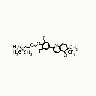 CC1(C(F)(F)F)CCc2nc(-c3cc(F)c(OCOCC[Si](C)(C)C)c(F)c3)ccc2C1=O